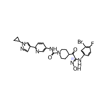 O=C(/C(=N/O)Nc1ccc(F)c(Br)c1)C1CCN(C(=O)Nc2ccc(-c3cnn(C4CC4)c3)nc2)CC1